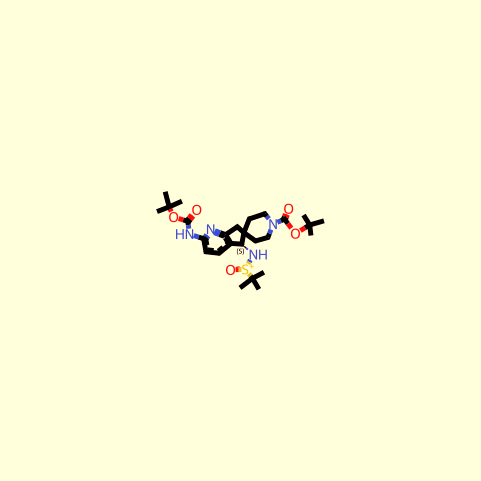 CC(C)(C)OC(=O)Nc1ccc2c(n1)CC1(CCN(C(=O)OC(C)(C)C)CC1)[C@@H]2N[S+]([O-])C(C)(C)C